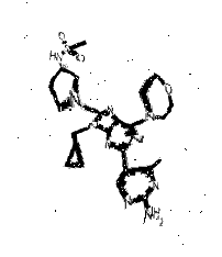 Cc1nc(N)ncc1-c1nc(N2CCOCC2)c2nc(N3CC[C@H](NS(C)(=O)=O)C3)n(CC3CC3)c2n1